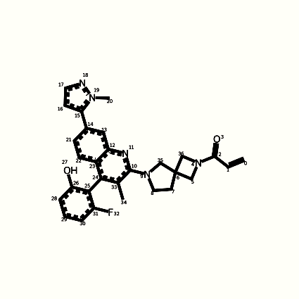 C=CC(=O)N1CC2(CCN(c3nc4cc(-c5ccnn5C)ccc4c(-c4c(O)cccc4F)c3C)C2)C1